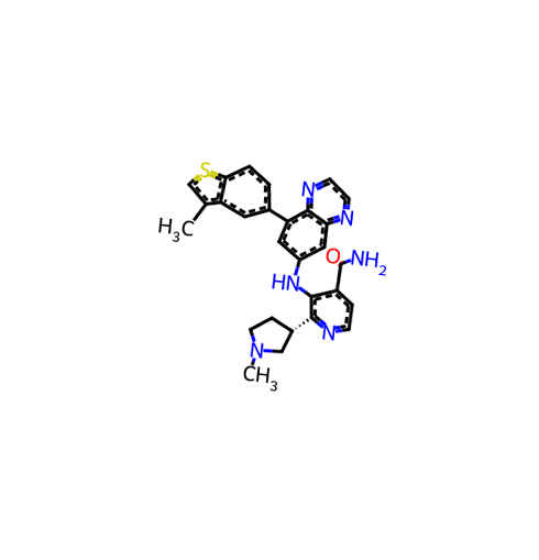 Cc1csc2ccc(-c3cc(Nc4c(C(N)=O)ccnc4[C@H]4CCN(C)C4)cc4nccnc34)cc12